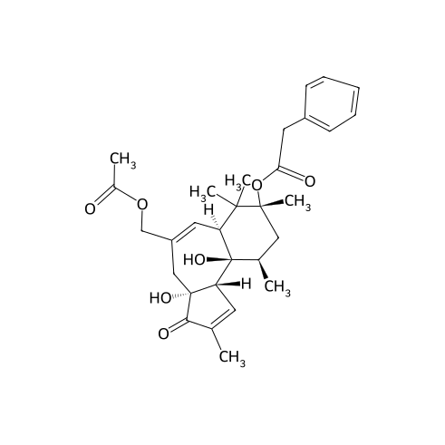 CC(=O)OCC1=C[C@H]2C(C)(C)[C@](C)(OC(=O)Cc3ccccc3)C[C@@H](C)[C@]2(O)[C@@H]2C=C(C)C(=O)[C@@]2(O)C1